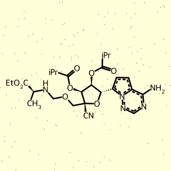 CCOC(=O)[C@H](C)NCOC[C@@]1(C#N)O[C@@H](c2ccc3c(N)ncnn23)[C@H](OC(=O)C(C)C)[C@@H]1OC(=O)C(C)C